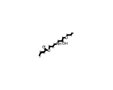 [CH2]CCOCC(O)CNCCCOC(=O)C=CC